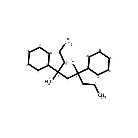 CCCC(C)(CC(C)(CCC)C1CCCCC1)C1CCCCC1